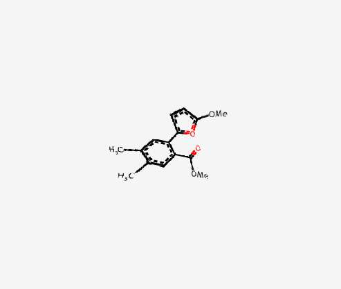 COC(=O)c1cc(C)c(C)cc1-c1ccc(OC)o1